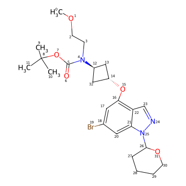 COCCN(C(=O)OC(C)(C)C)[C@H]1C[C@H](Oc2cc(Br)cc3c2cnn3C2CCCCO2)C1